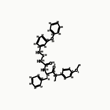 COc1ccc(N(C)C(=O)[C@H](Cc2ccccc2)NC(=O)NSNc2cccc(Oc3ccccc3)c2)cc1